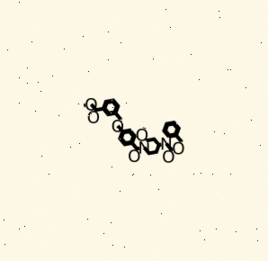 COC(=O)c1cccc(COc2ccc(C(=O)N3CCC(N4C(=O)OCc5ccccc54)CC3)c(OC)c2)c1